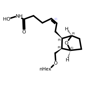 CCCCCCOC[C@H]1[C@@H](C/C=C\CCC(=O)NO)[C@H]2CC[C@@H]1O2